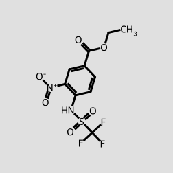 CCOC(=O)c1ccc(NS(=O)(=O)C(F)(F)F)c([N+](=O)[O-])c1